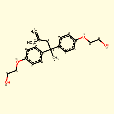 C=C(CC(C)(c1ccc(OCCO)cc1)c1ccc(OCCO)cc1)C(=O)O